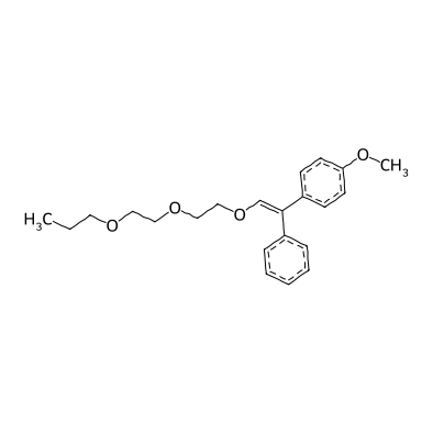 CCCOCCOCCO/C=C(\c1ccccc1)c1ccc(OC)cc1